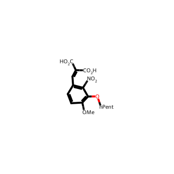 CCCCCOc1c(OC)ccc(C=C(C(=O)O)C(=O)O)c1[N+](=O)[O-]